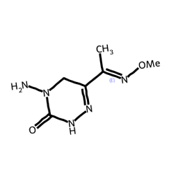 CO/N=C(\C)C1=NNC(=O)N(N)C1